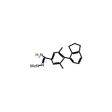 CN/N=C(\N)c1cc(C)c(-c2cccc3c2CCC3)c(C)c1